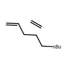 C=C.C=CCCCCCCC